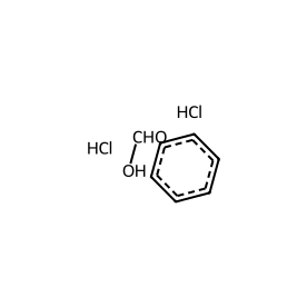 Cl.Cl.O=CO.c1ccccc1